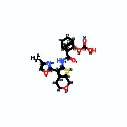 Cc1coc(-c2c(NC(=O)C3=C(OC(=O)O)C4CCC3CC4)sc3c2CCOC3)n1